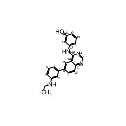 CCNc1cccc(-c2ccc3ncnc(Nc4cccc(O)c4)c3c2)c1